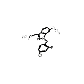 O=C(O)Cc1nn(Cc2ccc(Cl)cc2F)c2cc(OC(F)(F)F)ccc12